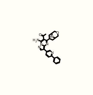 CC(=O)c1c(C2CC3COCC(C2)N3)nc2c(-c3ccc(-c4ccccc4)nc3)cnn2c1N